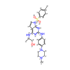 CC(=O)N1CCN(c2ccc(Nc3nc(NC(C)CO)c4ccn(S(=O)(=O)c5ccc(C)cc5)c4n3)cc2)CC1